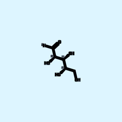 [2H]C(=O)[C@H](O)[C@@H](O)[C@H](O)CO